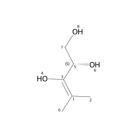 CC(C)=C(O)[C@@H](O)CO